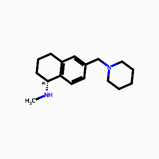 CN[C@@H]1CCCc2cc(CN3CCCCC3)ccc21